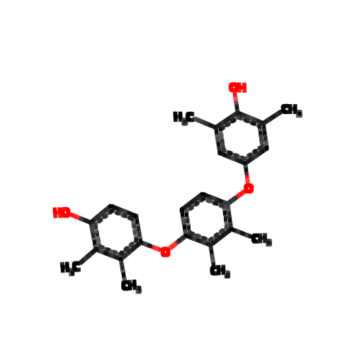 Cc1cc(Oc2ccc(Oc3ccc(O)c(C)c3C)c(C)c2C)cc(C)c1O